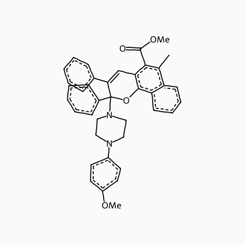 COC(=O)c1c2c(c3ccccc3c1C)OC(c1ccccc1)(N1CCN(c3ccc(OC)cc3)CC1)C(c1ccccc1)=C2